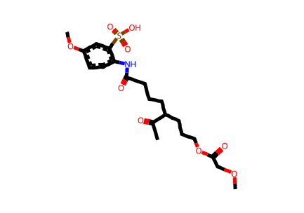 COCC(=O)OCCCC(CCCC(=O)Nc1ccc(OC)cc1S(=O)(=O)O)C(C)=O